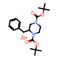 CC(C)(C)OC(=O)N1CCN(C(=O)OC(C)(C)C)C([C@H](O)c2ccccc2)C1